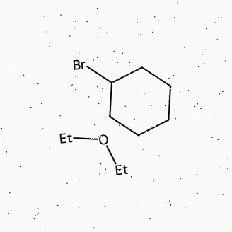 BrC1CCCCC1.CCOCC